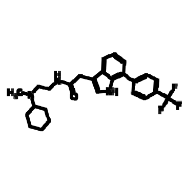 CN(CCNC(=O)Cc1c[nH]c2c(-c3ccc(C(F)(F)F)cc3)cccc12)C1CCCCC1